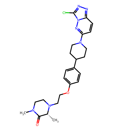 C[C@@H]1C(=O)N(C)CCN1CCOc1ccc(C2CCN(c3ccc4nnc(Cl)n4n3)CC2)cc1